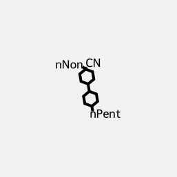 CCCCCCCCCC1(C#N)CCC(C2CCC(CCCCC)CC2)CC1